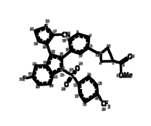 COC(=O)C1CN(c2cccc(-c3c(-c4ccsc4C#N)c4cc(F)ccc4n3S(=O)(=O)c3ccc(C(F)(F)F)cc3)c2)C1